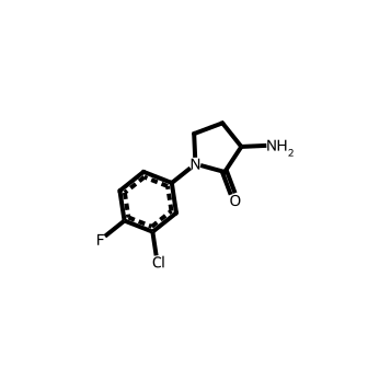 NC1CCN(c2ccc(F)c(Cl)c2)C1=O